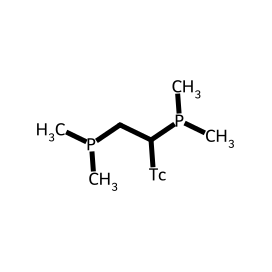 CP(C)C[CH]([Tc])P(C)C